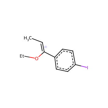 C/C=C(\OCC)c1ccc(I)cc1